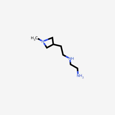 CN1CC(CCNCCN)C1